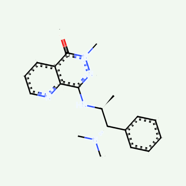 C[C@H](Nc1nn(C)c(=O)c2cccnc12)[C@H](c1ccccc1)N(C)C